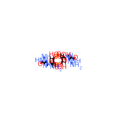 Nc1nc2c(ncn2[C@@H]2O[C@@H]3COP(=O)(O)O[C@H]4[C@@H](O)[C@H](n5cnc6c(=O)[nH]c(N)nc65)O[C@@H]4COP(=O)(O)O[C@H]3C2N)c(=O)[nH]1